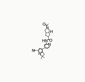 CC(=O)N1CC2CC(C(=O)Nc3cc(-c4cc(C#N)n5c4CC(C)(C)C5)ccn3)C[C@@H]2C1